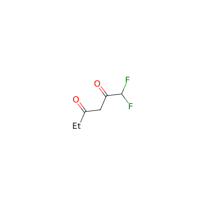 CCC(=O)CC(=O)C(F)F